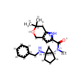 CCN(C(=O)c1cc2c([nH]1)CC(C)(C)OC2)[C@]12CCC[C@]1(NCc1ccccc1)C2